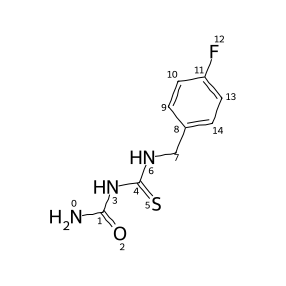 NC(=O)NC(=S)NCc1ccc(F)cc1